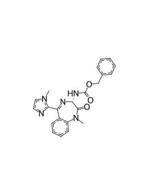 CN1C(=O)[C@@H](NC(=O)OCc2ccccc2)N=C(c2nccn2C)c2ccccc21